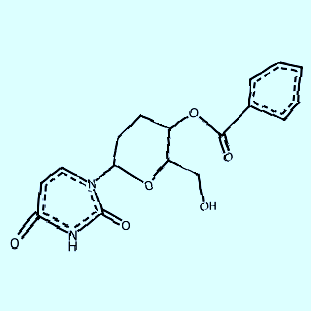 O=C(OC1CCC(n2ccc(=O)[nH]c2=O)OC1CO)c1ccccc1